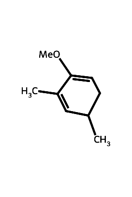 COC1=CCC(C)C=C1C